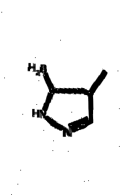 BC1NN=CC1C